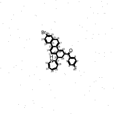 O=C(c1ccc(F)cc1)C1C=c2c(ccc3c2=CCc2cc(Br)ccc2-3)C(C2=CC=CC=CN2)C1